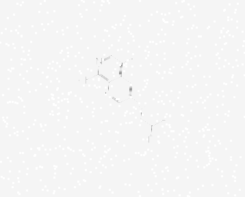 Fc1cnc(Cl)c2ncc(OCC(F)F)cc12